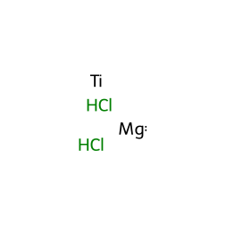 Cl.Cl.[Mg].[Ti]